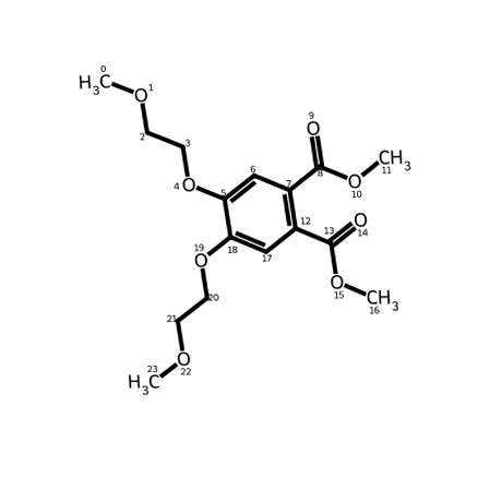 COCCOc1cc(C(=O)OC)c(C(=O)OC)cc1OCCOC